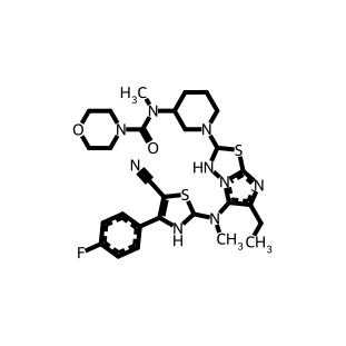 CCc1nc2n(c1N(C)C1NC(c3ccc(F)cc3)=C(C#N)S1)NC(N1CCCC(N(C)C(=O)N3CCOCC3)C1)S2